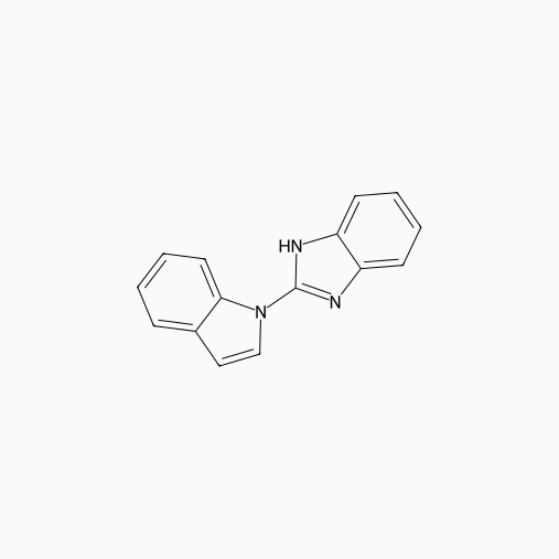 c1ccc2c(c1)ccn2-c1nc2ccccc2[nH]1